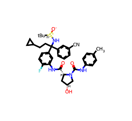 Cc1ccc(NC(=O)N2C[C@H](O)C[C@@H]2C(=O)Nc2cc(C(CCC3CC3)(N[S@+]([O-])C(C)(C)C)c3cccc(C#N)c3)ccc2F)cc1